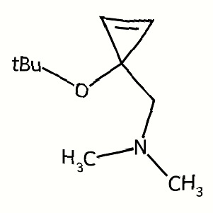 CN(C)CC1(OC(C)(C)C)C=C1